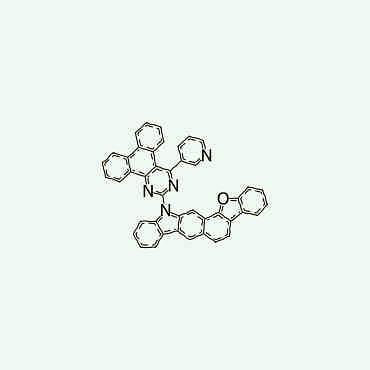 c1cncc(-c2nc(-n3c4ccccc4c4cc5ccc6c7ccccc7oc6c5cc43)nc3c4ccccc4c4ccccc4c23)c1